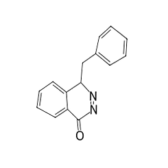 O=C1N=NC(Cc2ccccc2)c2ccccc21